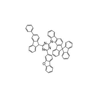 c1ccc(-c2ccc3c(c2)-c2ccccc2C3c2nc(-c3ccc4c(c3)oc3ccccc34)nc(-n3c4ccccc4c4ccc5c(c43)-c3ccccc3C53c4ccccc4-c4ccccc43)n2)cc1